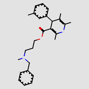 CCOC(=O)C1=C(C)NC(C)=C(C(=O)OCCCN(C)Cc2ccccc2)C1c1cccc(C(F)(F)F)c1